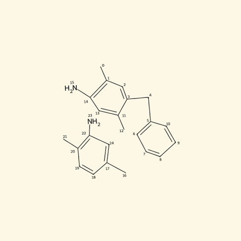 Cc1cc(Cc2ccccc2)c(C)cc1N.Cc1ccc(C)c(N)c1